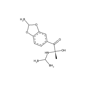 BC(B)N[C@@](C)(O)C(=O)c1ccc2c(c1)OC(B)O2